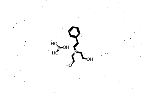 OB(O)O.OCCN(C=Cc1ccccc1)CCO